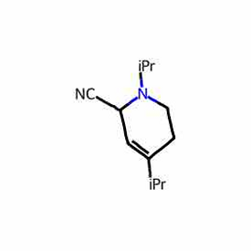 CC(C)C1=CC(C#N)N(C(C)C)CC1